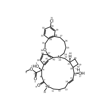 COC(=O)[C@@]1(O)CC(=O)N(C)CCC/C=C/[C@H](O)[C@@H]2CC[C@H]2CN2CCCCc3cc(Cl)ccc3COc3ccc1cc32